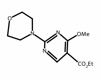 CCOC(=O)c1cnc(N2CCOCC2)nc1OC